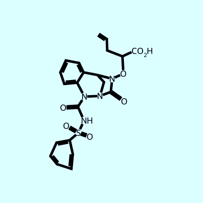 C=CCC(ON1C(=O)N2CC1c1ccccc1N2C(=O)NS(=O)(=O)c1ccccc1)C(=O)O